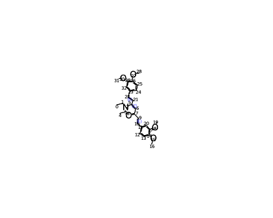 CCN(CC)C(=C\C(=O)/C=C/c1ccc(OC)c(OC)c1)/C=C/c1ccc(OC)c(OC)c1